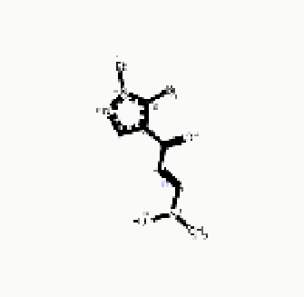 CCn1ncc(C(=O)/C=C/N(C)C)c1Br